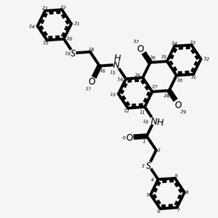 O=C(CSc1ccccc1)Nc1ccc(NC(=O)CSc2ccccc2)c2c1C(=O)c1ccccc1C2=O